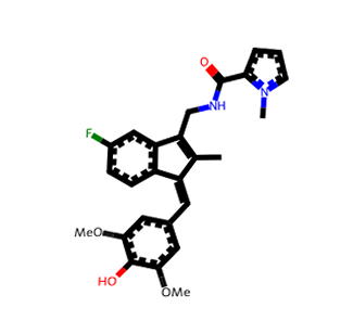 COc1cc(/C=C2/C(C)=C(CNC(=O)c3cccn3C)c3cc(F)ccc32)cc(OC)c1O